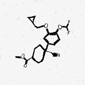 COC(=O)[C@H]1CC[C@](C#N)(c2ccc(OC(F)F)c(OCC3CC3)c2)CC1